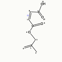 C=C(C)COC(=O)/C=C\C(=O)O